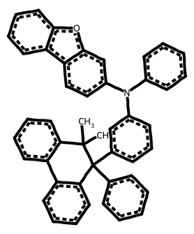 CC1(C)c2ccccc2-c2ccccc2C1(c1ccccc1)c1cccc(N(c2ccccc2)c2ccc3c(c2)oc2ccccc23)c1